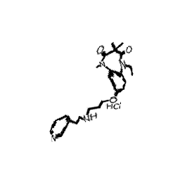 CCN1C(=O)C(C)(C)C(=O)N(C)c2cc(OCCCNCCc3cccnc3)ccc21.Cl